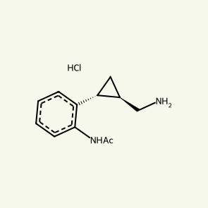 CC(=O)Nc1ccccc1[C@@H]1C[C@H]1CN.Cl